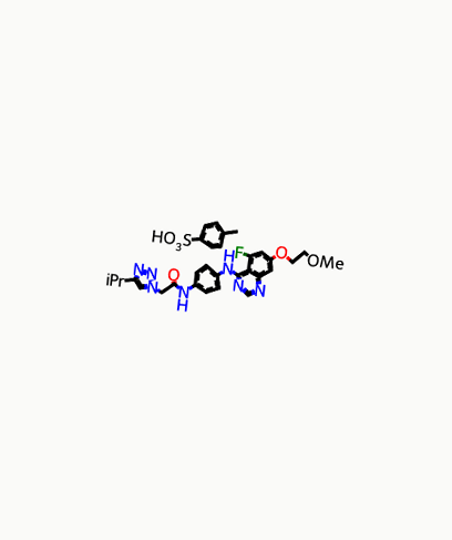 COCCOc1cc(F)c2c(Nc3ccc(NC(=O)Cn4cc(C(C)C)nn4)cc3)ncnc2c1.Cc1ccc(S(=O)(=O)O)cc1